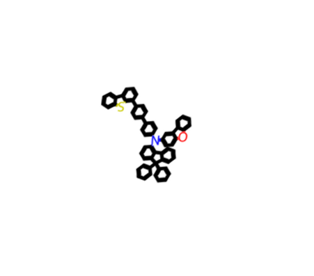 c1ccc(C2(c3ccccc3)c3ccccc3-c3c(N(c4ccc(-c5ccc(-c6cccc7c6sc6ccccc67)cc5)cc4)c4ccc5oc6ccccc6c5c4)cccc32)cc1